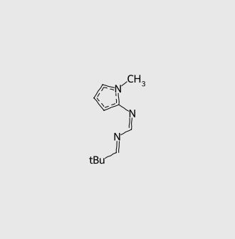 Cn1cccc1/N=C\N=C\C(C)(C)C